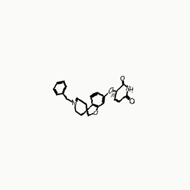 O=C1CC[C@@H](Oc2ccc3c(c2)OCC32CCN(Cc3ccccc3)CC2)C(=O)N1